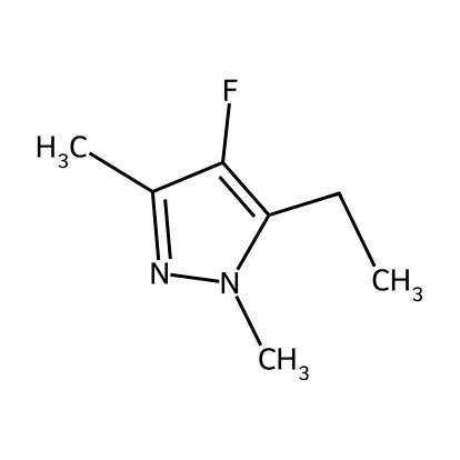 CCc1c(F)c(C)nn1C